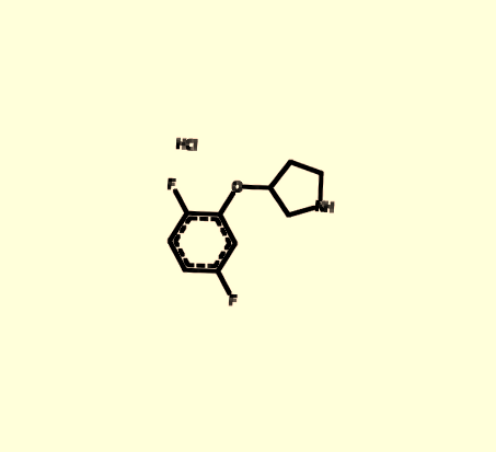 Cl.Fc1ccc(F)c(OC2CCNC2)c1